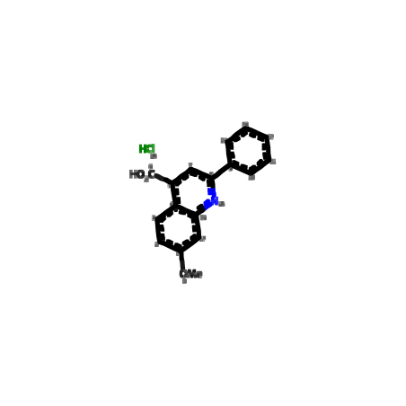 COc1ccc2c(C(=O)O)cc(-c3ccccc3)nc2c1.Cl